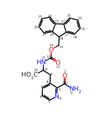 NC(=O)c1ncccc1CC(NC(=O)OCC1c2ccccc2-c2ccccc21)C(=O)O